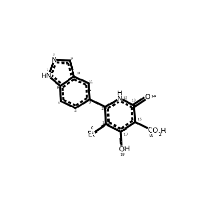 CCc1c(-c2ccc3[nH]ncc3c2)[nH]c(=O)c(C(=O)O)c1O